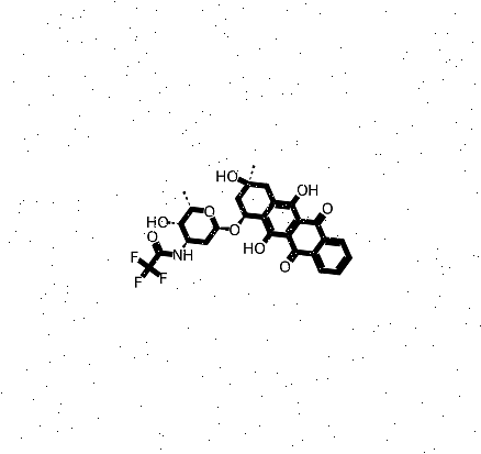 C[C@@H]1O[C@@H](O[C@H]2C[C@@](C)(O)Cc3c(O)c4c(c(O)c32)C(=O)c2ccccc2C4=O)C[C@H](NC(=O)C(F)(F)F)[C@@H]1O